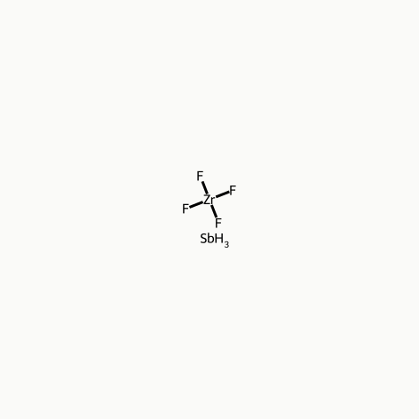 [F][Zr]([F])([F])[F].[SbH3]